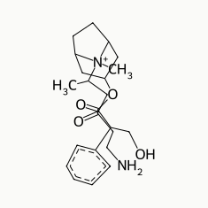 CC(CC(=O)CCN)[N+]1(C)C2CCC1CC(OC(=O)C(CO)c1ccccc1)C2